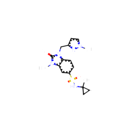 Cn1ccc(Cn2c(=O)n(C)c3cc(S(=O)(=O)NC4(C)CC4)ccc32)n1